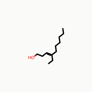 CCCCCCC(=CCCO)CC